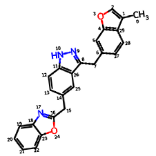 Cc1coc2cc(Cc3n[nH]c4ccc(Cc5nc6ccccc6o5)cc34)ccc12